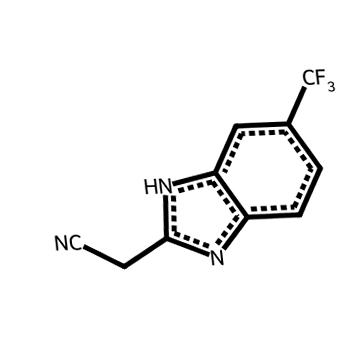 N#CCc1nc2ccc(C(F)(F)F)cc2[nH]1